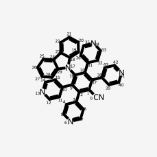 N#Cc1c(-c2ccncc2)c(-c2ccncc2)c(-n2c3ccccc3c3ccccc32)c(-c2ccncc2)c1-c1ccncc1